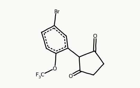 O=C1CCC(=O)C1c1cc(Br)ccc1OC(F)(F)F